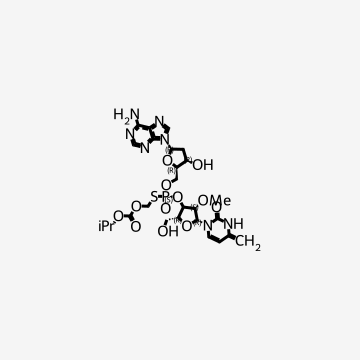 C=C1C=CN([C@@H]2O[C@H](CO)C(O[P@](=O)(OC[C@H]3O[C@@H](n4cnc5c(N)ncnc54)C[C@H]3O)SCOC(=O)OC(C)C)[C@@H]2OC)C(=O)N1